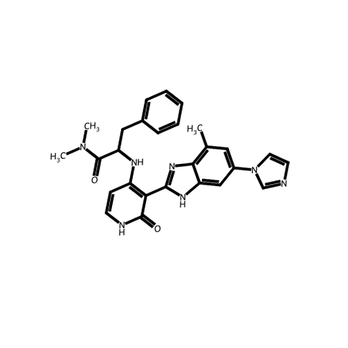 Cc1cc(-n2ccnc2)cc2[nH]c(-c3c(NC(Cc4ccccc4)C(=O)N(C)C)cc[nH]c3=O)nc12